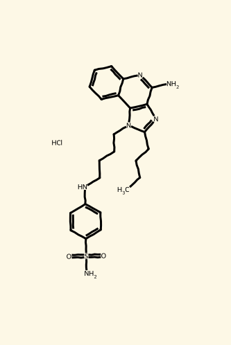 CCCCc1nc2c(N)nc3ccccc3c2n1CCCCNc1ccc(S(N)(=O)=O)cc1.Cl